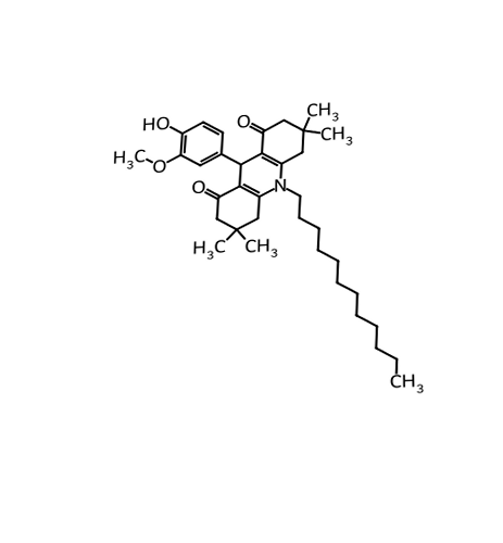 CCCCCCCCCCCCN1C2=C(C(=O)CC(C)(C)C2)C(c2ccc(O)c(OC)c2)C2=C1CC(C)(C)CC2=O